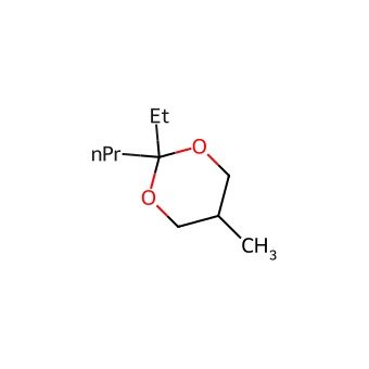 CCCC1(CC)OCC(C)CO1